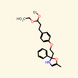 CCOC(CCc1ccc(OCCC2(c3ccccc3)NC=C(C)O2)cc1)OCC(=O)O